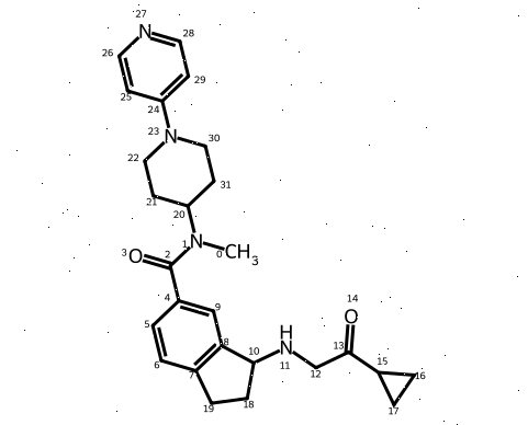 CN(C(=O)c1ccc2c(c1)C(NCC(=O)C1CC1)CC2)C1CCN(c2ccncc2)CC1